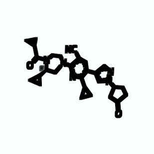 N#Cc1cc(-c2cnn(C3CCC(=O)C3)c2)c(C2CC2)nc1N1CCN(C(=O)C2CC2)[C@H](C2CC2)C1